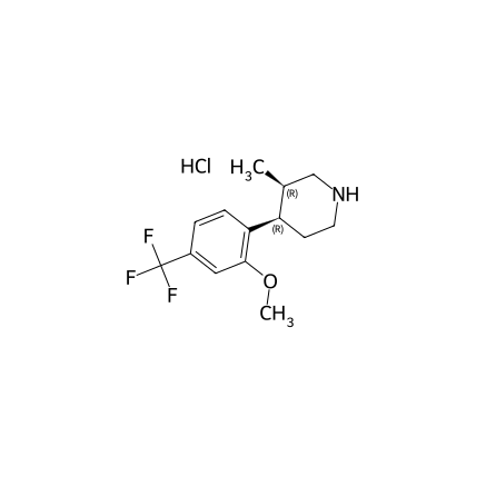 COc1cc(C(F)(F)F)ccc1[C@@H]1CCNC[C@@H]1C.Cl